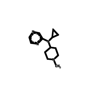 CN1CCC(N(c2cnccn2)C2CC2)CC1